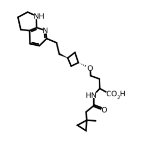 CC1(CC(=O)NC(CCO[C@H]2C[C@H](CCc3ccc4c(n3)NCCC4)C2)C(=O)O)CC1